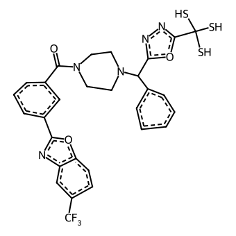 O=C(c1cccc(-c2nc3cc(C(F)(F)F)ccc3o2)c1)N1CCN(C(c2ccccc2)c2nnc(C(S)(S)S)o2)CC1